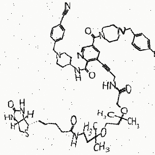 CC(C)(CCNC(=O)CCCC[C@@H]1SC[C@@H]2NC(=O)N[C@@H]21)OCCC(C)(C)OCC(=O)NCC#Cc1cc(C(=O)N2CCN(Cc3ccc(F)cc3)CC2)cnc1C(=O)NC1CCN(Cc2ccc(C#N)cc2)CC1